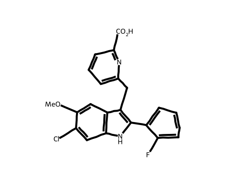 COc1cc2c(Cc3cccc(C(=O)O)n3)c(-c3ccccc3F)[nH]c2cc1Cl